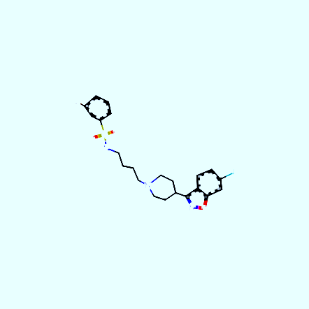 O=S(=O)(NCCCCN1CCC(c2noc3cc(F)ccc23)CC1)c1cccc(Br)c1